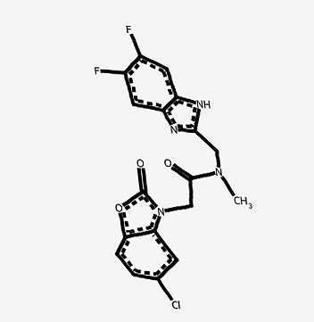 CN(Cc1nc2cc(F)c(F)cc2[nH]1)C(=O)Cn1c(=O)oc2ccc(Cl)cc21